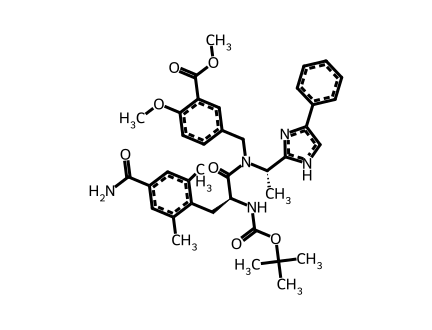 COC(=O)c1cc(CN(C(=O)[C@H](Cc2c(C)cc(C(N)=O)cc2C)NC(=O)OC(C)(C)C)[C@@H](C)c2nc(-c3ccccc3)c[nH]2)ccc1OC